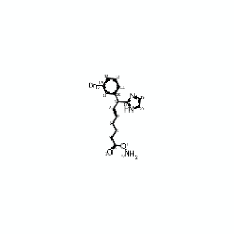 NOC(=O)CCCC=CC(c1cccc(Br)c1)c1ncc[nH]1